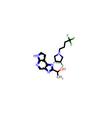 CC(O)c1nc2cnc3[nH]ccc3c2n1[C@@H]1CN(CCCC(F)(F)F)C[C@H]1F